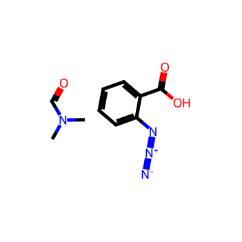 CN(C)C=O.[N-]=[N+]=Nc1ccccc1C(=O)O